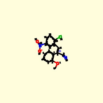 COc1ccccc1/C(C#N)=C\c1cc([N+](=O)[O-])ccc1Cl